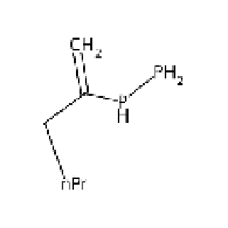 C=C(CCCC)PP